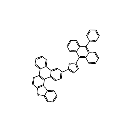 c1ccc(-c2c3ccccc3c(-c3ccc(-c4ccc5c(c4)c4ccccc4c4ccc6sc7ccccc7c6c45)s3)c3ccccc23)cc1